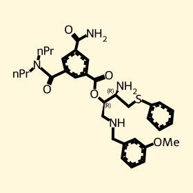 CCCN(CCC)C(=O)c1cc(C(N)=O)cc(C(=O)O[C@H](CNCc2cccc(OC)c2)[C@@H](N)CSc2ccccc2)c1